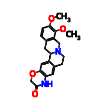 COc1ccc2c(c1OC)CN1CCc3cc4c(cc3C1C2)OCC(=O)N4